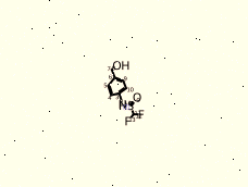 O=[SH](=N\c1ccc(CO)cc1)/C(F)F